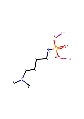 CN(C)CCCCNP(=O)(OI)OI